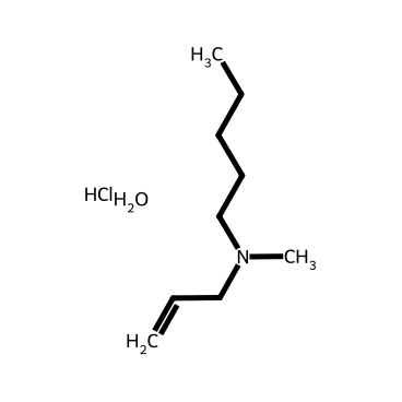 C=CCN(C)CCCCC.Cl.O